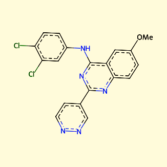 COc1ccc2nc(-c3ccnnc3)nc(Nc3ccc(Cl)c(Cl)c3)c2c1